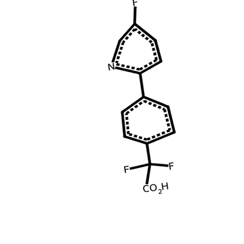 O=C(O)C(F)(F)c1ccc(-c2ccc(F)cn2)cc1